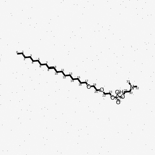 CCCCCCCCC=CCCCCCCCCOCCOCCOP(=O)(O)OCCN(C)C